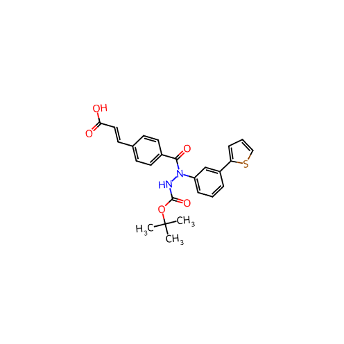 CC(C)(C)OC(=O)NN(C(=O)c1ccc(C=CC(=O)O)cc1)c1cccc(-c2cccs2)c1